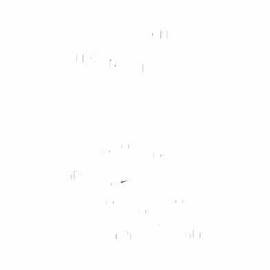 C#CC[N+](C)(C)CCCC(=O)OC1OCC(OC(=O)CCC)C(OC(=O)CCC)[C@H]1OC(=O)CCC